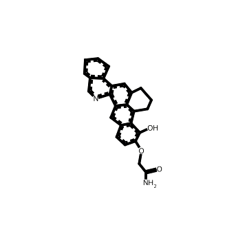 NC(=O)COc1ccc2cc3c4c(cc5c6ccccc6cnc35)CCCc4c2c1O